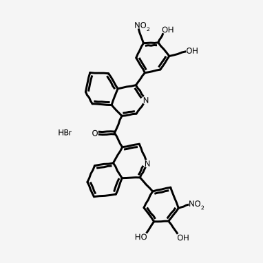 Br.O=C(c1cnc(-c2cc(O)c(O)c([N+](=O)[O-])c2)c2ccccc12)c1cnc(-c2cc(O)c(O)c([N+](=O)[O-])c2)c2ccccc12